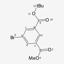 COC(=O)c1cc(Br)cc(C(=O)OC(C)(C)C)c1